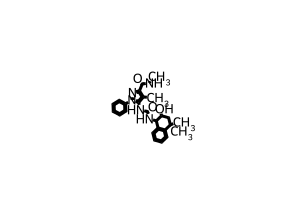 CNC(=O)c1nn(-c2ccccc2)c(NC(=O)NC2c3ccccc3C(C)(C)CC2O)c1C